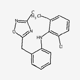 Cc1noc(Cc2ccccc2Nc2c(Cl)cccc2Cl)n1